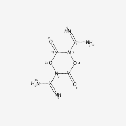 N=C(N)N1OC(=O)N(C(=N)N)OC1=O